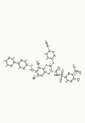 N#Cc1ccc(CN2Cc3c(cc(Br)c(OCc4ccc(-c5ccccc5)cc4)c3Br)C[C@H]2C(=O)NS(=O)(=O)c2ccc(Cl)c([N+](=O)[O-])c2)cc1